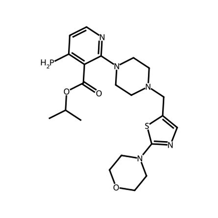 CC(C)OC(=O)c1c(P)ccnc1N1CCN(Cc2cnc(N3CCOCC3)s2)CC1